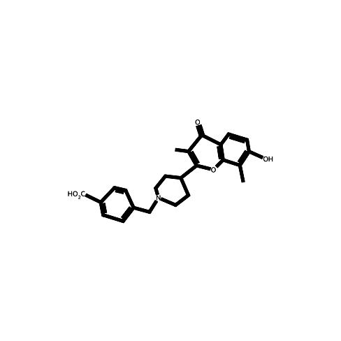 Cc1c(C2CCN(Cc3ccc(C(=O)O)cc3)CC2)oc2c(C)c(O)ccc2c1=O